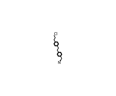 N#CCc1ccc(CCc2ccc(CCCCl)cc2)cc1